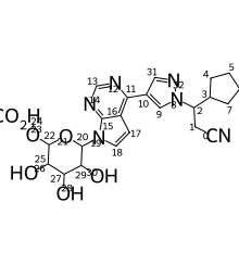 N#CCC(C1CCCC1)n1cc(-c2ncnc3c2ccn3C2OC(OC(=O)O)C(O)C(O)C2O)cn1